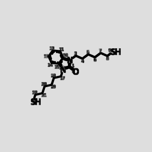 O=c1n(CCCCCCS)c2ccccc2n1CCCCCCS